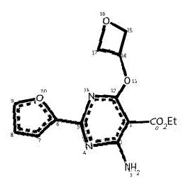 CCOC(=O)c1c(N)nc(-c2ccco2)nc1OC1COC1